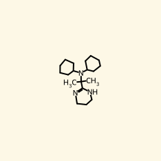 CC(C)(C1=NCCCN1)N(C1CCCCC1)C1CCCCC1